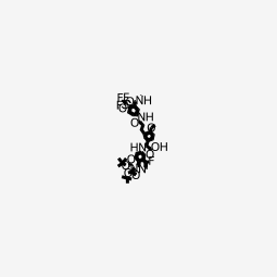 CNCc1cc(NC(=O)CCc2cc(C(Nc3ccc4c(N(C(=O)OC(C)(C)C)C(=O)OC(C)(C)C)ncc(F)c4c3)C(=O)O)ccc2OC)ccc1S(=O)(=O)C(F)(F)F